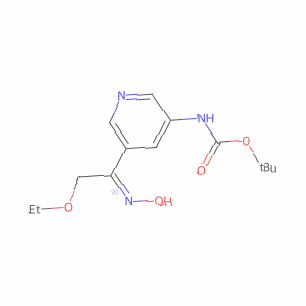 CCOC/C(=N/O)c1cncc(NC(=O)OC(C)(C)C)c1